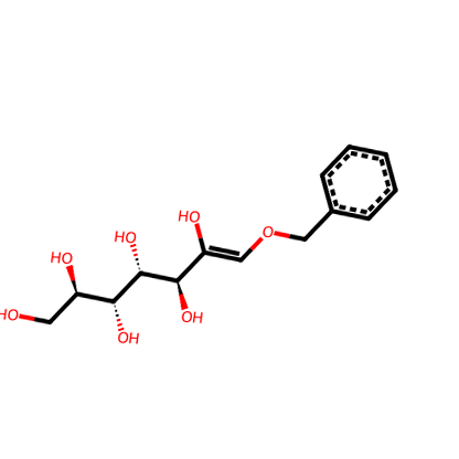 OC[C@@H](O)[C@@H](O)[C@H](O)[C@H](O)/C(O)=C/OCc1ccccc1